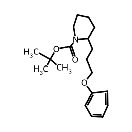 CC(C)(C)OC(=O)N1CCCCC1CCCOc1ccccc1